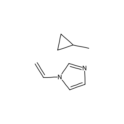 C=Cn1ccnc1.CC1CC1